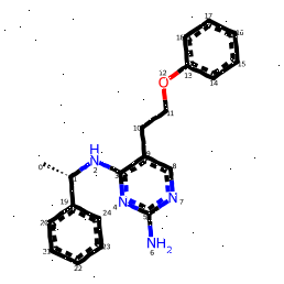 C[C@H](Nc1nc(N)ncc1CCOc1ccccc1)c1ccccc1